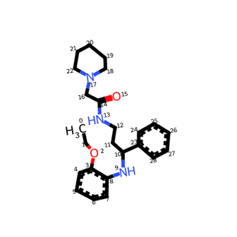 CCOc1ccccc1NC(CCNC(=O)CN1CCCCC1)c1ccccc1